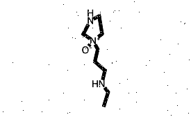 CCNCCC[N+]1([O-])CCNC1